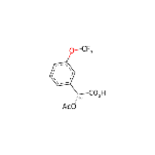 CC(=O)O[C@@H](C(=O)O)c1cccc(OC(F)(F)F)c1